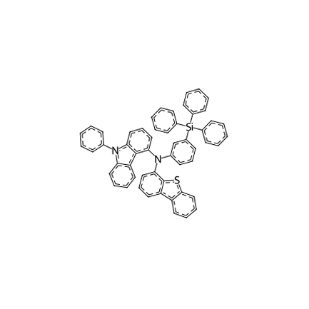 c1ccc(-n2c3ccccc3c3c(N(c4cccc([Si](c5ccccc5)(c5ccccc5)c5ccccc5)c4)c4cccc5c4sc4ccccc45)cccc32)cc1